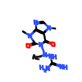 CC(=O)N(NC(=N)N)n1c(=O)c2c(ncn2C)n(C)c1=O